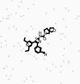 CCc1cc(-c2sc(NC(=O)N3CCC4(CCOC4)C3)nc2-c2cccc(C#N)c2)cc(CC)n1